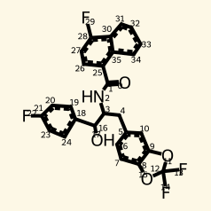 O=C(NC(Cc1ccc2c(c1)OC(F)(F)O2)C(O)c1ccc(F)cc1)c1ccc(F)c2ccccc12